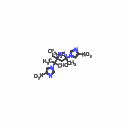 CC(C)(CC(N)(CC(F)(F)F)C(C)(C=O)n1cnc([N+](=O)[O-])c1)n1cnc([N+](=O)[O-])c1